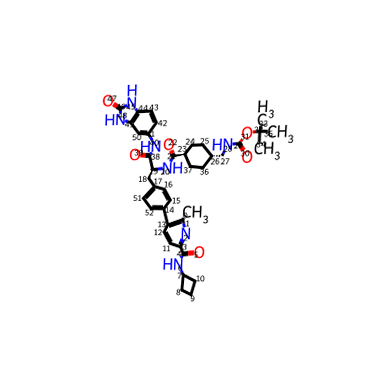 Cc1nc(C(=O)NC2CCC2)ccc1-c1ccc(C[C@H](NC(=O)[C@H]2CC[C@H](CNC(=O)OC(C)(C)C)CC2)C(=O)Nc2ccc3[nH]c(=O)[nH]c3c2)cc1